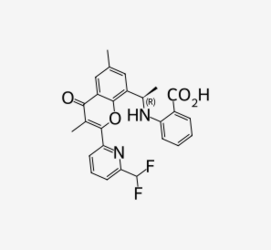 Cc1cc([C@@H](C)Nc2ccccc2C(=O)O)c2oc(-c3cccc(C(F)F)n3)c(C)c(=O)c2c1